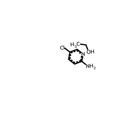 CCO.Nc1ccc(Cl)cn1